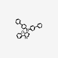 c1ccc(-c2ccc(N(c3ccc(-c4ccccc4)cc3)c3ccnc4c3oc3ccccc34)cc2)cc1